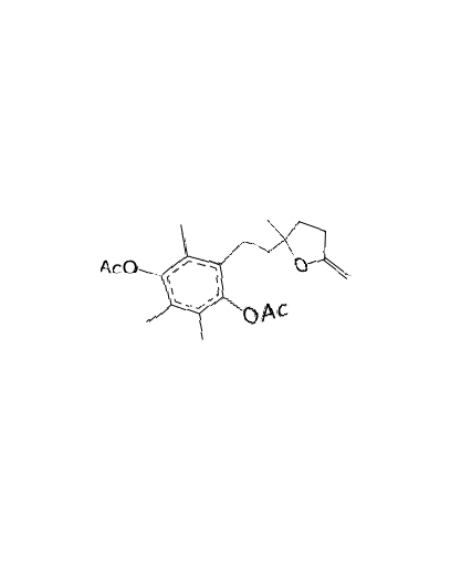 C=C1CCC(C)(CCc2c(C)c(OC(C)=O)c(C)c(C)c2OC(C)=O)O1